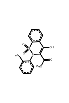 CCCc1ccccc1N1C(C(=O)OC)=C(O)c2ccccc2S1(=O)=O